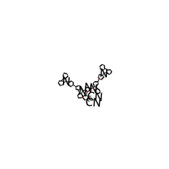 N#Cc1cccc(-c2cc(-n3c4ccccc4c4cc(-c5ccc(-n6c7ccccc7c7ccccc76)cc5)ccc43)ncc2-n2c3ccccc3c3cc(-c4ccc(-n5c6ccccc6c6ccccc65)cc4)ccc32)c1C#N